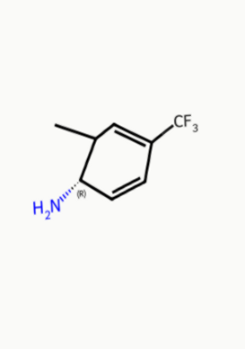 CC1C=C(C(F)(F)F)C=C[C@@H]1N